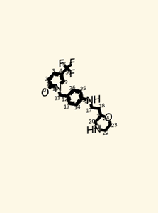 O=c1ccc(C(F)(F)F)cn1Cc1ccc(NCCC2CNCCO2)cc1